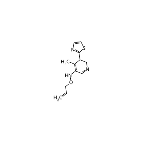 C=CCONC1=C(C)C(c2nccs2)CN=C1